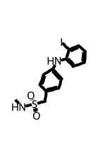 CNS(=O)(=O)Cc1ccc(Nc2ccccc2I)cc1